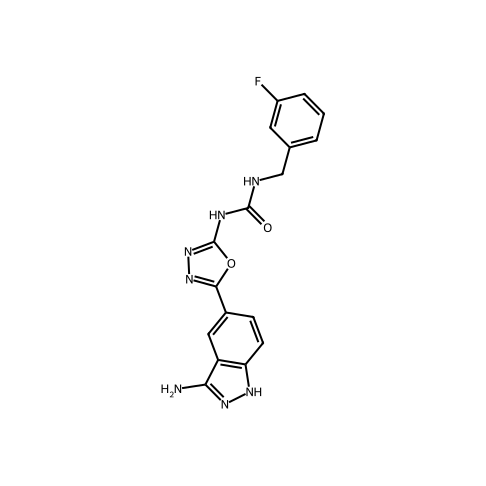 Nc1n[nH]c2ccc(-c3nnc(NC(=O)NCc4cccc(F)c4)o3)cc12